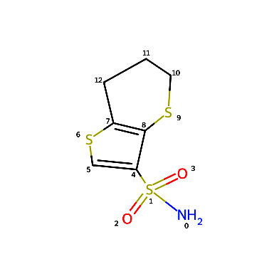 NS(=O)(=O)c1csc2c1SCCC2